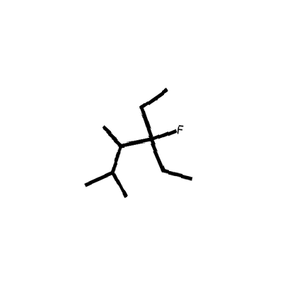 CCC(F)(CC)C(C)C(C)C